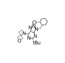 CC(C)(C)c1nc(N2CCC23COC3)c2nnn(Cc3ccccc3Cl)c2n1